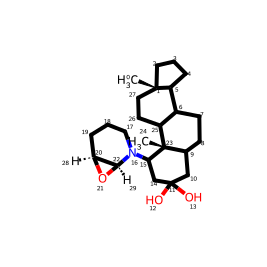 C[C@@]12CCCC1C1CCC3CC(O)(O)CC(N4CCC[C@@H]5O[C@@H]54)[C@]3(C)C1CC2